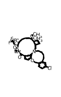 CO[C@]1(C)/C=C\C[C@H](C)[C@H](CC(F)(F)F)S(=O)(=O)NC(=O)c2ccc3c(c2)N(CCCCc2cc(Cl)ccc2CO3)CC2CCC21